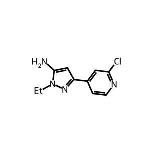 CCn1nc(-c2ccnc(Cl)c2)cc1N